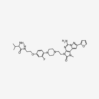 CC(C)C(N)C(=O)NCCOc1ccc(N2CCN(CCn3c(=O)n(C)c4c3nc(N)n3nc(-c5ccco5)cc43)CC2)c(F)c1